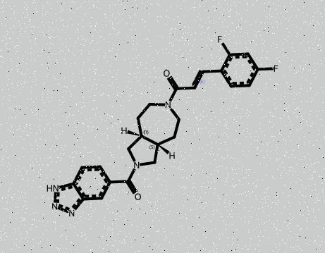 O=C(/C=C/c1ccc(F)cc1F)N1CC[C@@H]2CN(C(=O)c3ccc4[nH]nnc4c3)C[C@@H]2CC1